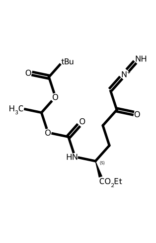 CCOC(=O)[C@H](CCC(=O)C=[N+]=N)NC(=O)OC(C)OC(=O)C(C)(C)C